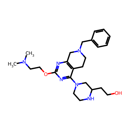 CN(C)CCOc1nc2c(c(N3CCNC(CCO)C3)n1)CCN(Cc1ccccc1)C2